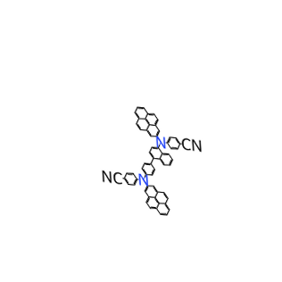 N#Cc1ccc(N(c2ccc(-c3ccc(N(c4ccc(C#N)cc4)c4cc5ccc6cccc7ccc(c4)c5c67)c4ccccc34)cc2)c2cc3ccc4cccc5ccc(c2)c3c45)cc1